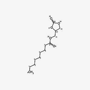 CCCCCCCCC(=O)OCC1COC(=O)O1